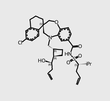 C=CC[C@@H](O)[C@@H]1CC[C@H]1CN1C[C@@]2(CCCc3cc(Cl)ccc32)COc2ccc(C(=O)NS(=O)(=O)[C@@H](CC=C)C(C)C)cc21